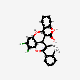 CC(=O)/C(=C(/O)c1ccccc1C)C1c2cc(F)c(F)cc2Oc2c1c(=O)oc1ccccc21